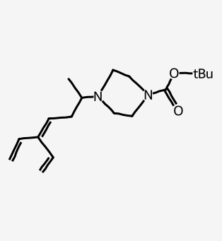 C=CC(C=C)=CCC(C)N1CCN(C(=O)OC(C)(C)C)CC1